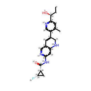 CC[C@H](O)c1cc(C)c(C2=Cc3cnc(NC(=O)[C@@H]4C[C@@H]4F)cc3NC2)cn1